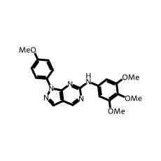 COc1ccc(-n2ncc3cnc(Nc4cc(OC)c(OC)c(OC)c4)nc32)cc1